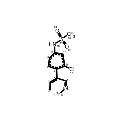 C/C=C(\C=N/C(C)C)c1ccc(NS(=O)(=O)C(F)(F)F)cc1Cl